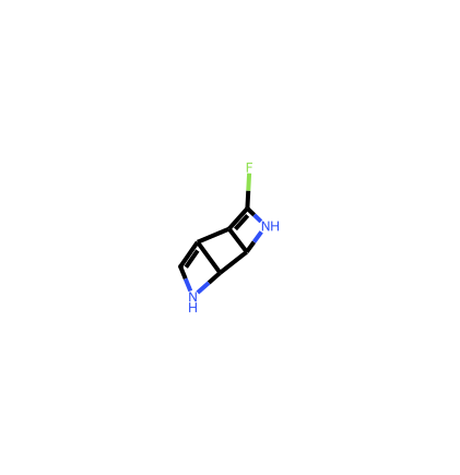 FC1=C2C3=CNC3C2N1